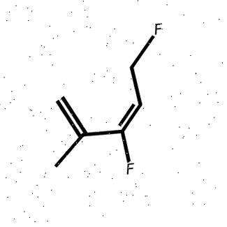 C=C(C)/C(F)=C\CF